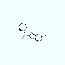 Cc1ccc2nc(C(=O)C3CCCC[N]3)sc2c1